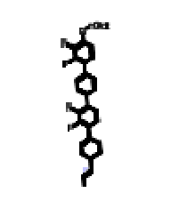 C/C=C/C1CC=C(c2ccc(-c3ccc(-c4ccc(OCCCCCCCC)c(F)c4F)cc3)c(F)c2F)CC1